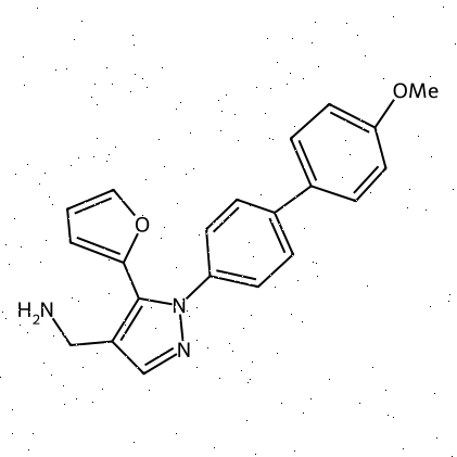 COc1ccc(-c2ccc(-n3ncc(CN)c3-c3ccco3)cc2)cc1